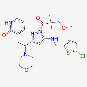 COCC(C)(C)C(=O)n1nc(C(Cc2ccc[nH]c2=O)N2CCOCC2)cc1NCc1ccc(Cl)s1